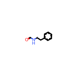 O=CN[CH]Cc1ccccc1